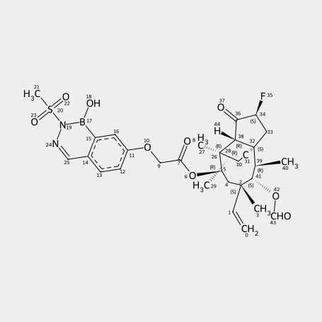 C=C[C@]1(C)C[C@@H](OC(=O)COc2ccc3c(c2)B(O)N(S(C)(=O)=O)N=C3)[C@]2(C)[C@H](C)CC[C@]3(C[C@H](F)C(=O)[C@H]32)[C@@H](C)[C@@H]1OC=O